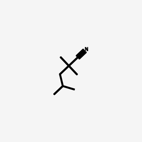 CC(C)CC(C)(C)C#N